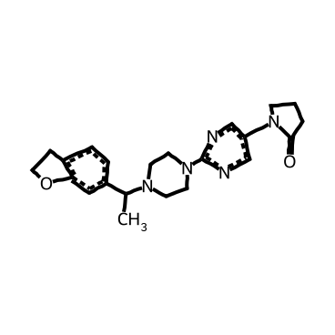 CC(c1ccc2c(c1)OCC2)N1CCN(c2ncc(N3CCCC3=O)cn2)CC1